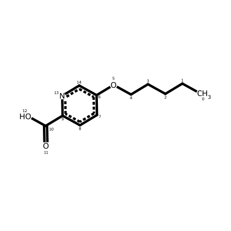 CCCCCOc1ccc(C(=O)O)nc1